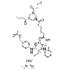 CCCC(=O)N1CN(C(=O)CCI)CN(C(=O)CCSCC(=O)N[C@H](Cc2ccccc2)C(=O)N[C@@H](CCCNC(N)=O)C(=O)Nc2ccc(COC(C)=O)cc2)C1